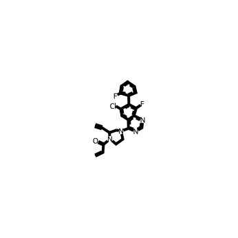 C#CC1CN(c2ncnc3c(F)c(-c4ccccc4F)c(Cl)cc23)CCN1C(=O)C=C